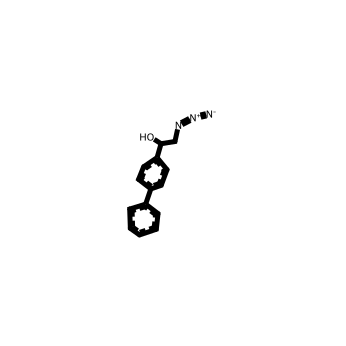 [N-]=[N+]=NCC(O)c1ccc(-c2ccccc2)cc1